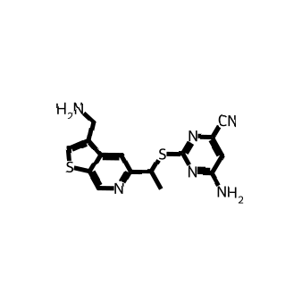 CC(Sc1nc(N)cc(C#N)n1)c1cc2c(CN)csc2cn1